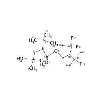 CC(C)(C)CC(C(=O)OCC(C(F)(F)F)C(F)(F)F)C(C)(C)C